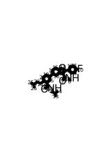 CNC(=O)c1c(-c2ccc(F)cc2)oc2ccc(-c3ccc(CCC(C)C)c(C(=O)NCC(C)C)c3)cc12